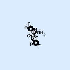 Nc1nc2cc(F)c(F)cc2n2c(=O)n(Cc3c(F)cc(F)cc3F)nc12